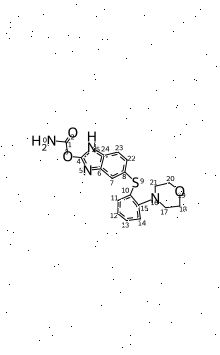 NC(=O)Oc1nc2cc(Sc3ccccc3N3CCOCC3)ccc2[nH]1